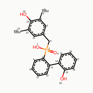 CC(C)(C)c1cc(CP(=O)(O)c2ccccc2-c2ccccc2O)cc(C(C)(C)C)c1O